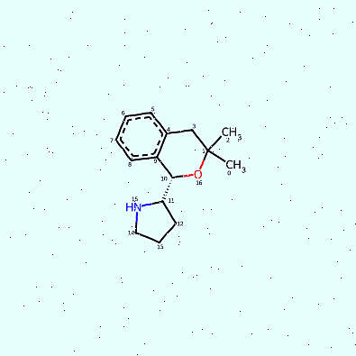 CC1(C)Cc2ccccc2[C@@H](C2CCCN2)O1